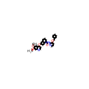 COc1cc2nccc(Oc3ccc4c(C(=O)Nc5ncccc5OCc5ccccc5)cccc4c3)c2cc1OC